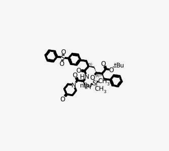 CCCC[Si](C)(C)O[C@H](C[C@H](Cc1ccc(S(=O)(=O)c2ccccc2)cc1)C(=O)N[C@H](C(=O)N1CCC(=O)CC1)C(C)C)[C@H](Cc1ccccc1)C(=O)OC(C)(C)C